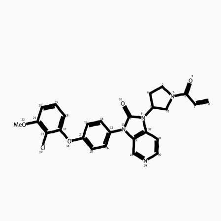 C=CC(=O)N1CCC(n2c(=O)n(-c3ccc(Oc4cccc(OC)c4Cl)cc3)c3cnccc32)C1